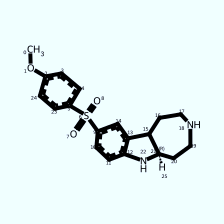 COc1ccc(S(=O)(=O)c2ccc3c(c2)C2CCNCC[C@H]2N3)cc1